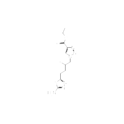 CCOC(=O)c1cn(CC(F)CCc2nnc(N)s2)nn1